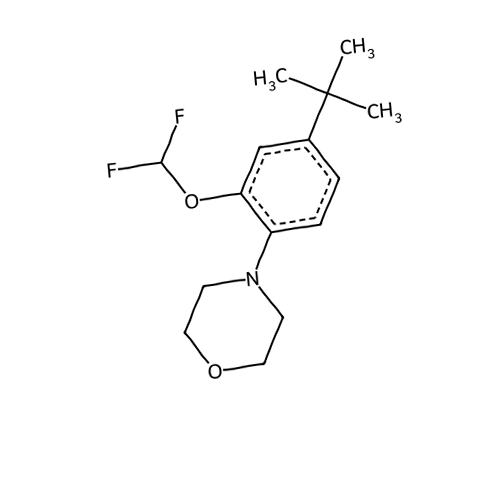 CC(C)(C)c1ccc(N2CCOCC2)c(OC(F)F)c1